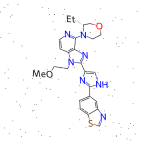 CC[C@@H]1COCCN1c1nccc2c1nc(-c1c[nH]c(-c3ccc4scnc4c3)n1)n2CCOC